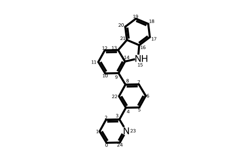 c1ccc(-c2cccc(-c3cccc4c3[nH]c3ccccc34)c2)nc1